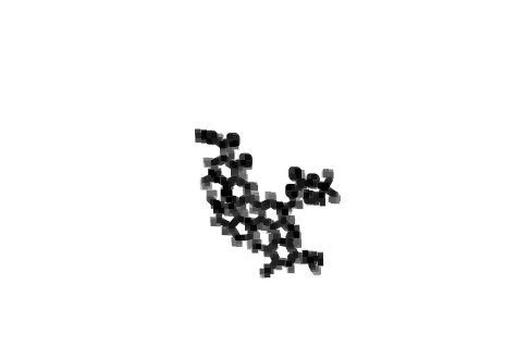 CNc1cc(F)c(F)c2c3c(N4CCC5CN(C)CC54)c(-c4cnc5c(c4)c(=O)c(C(=O)O)cn5C)cn(COP(=O)(O)OC(C)(C)C)c-3nc12